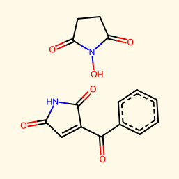 O=C1C=C(C(=O)c2ccccc2)C(=O)N1.O=C1CCC(=O)N1O